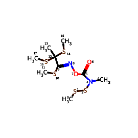 CSSN(C)C(=O)ON=C(SC)C(C)(SC)SC